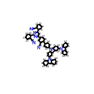 N#Cc1cc(-c2cc(-c3ccccc3C#N)nc(-c3ccccc3C#N)n2)ccc1-c1ccc(-n2c3ccc(-n4c5ccccc5c5ccccc54)cc3c3cc(-n4c5ccccc5c5ccccc54)ccc32)cc1